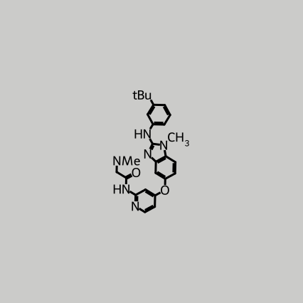 CNCC(=O)Nc1cc(Oc2ccc3c(c2)nc(Nc2cccc(C(C)(C)C)c2)n3C)ccn1